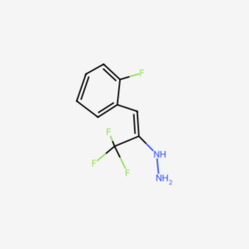 NN/C(=C/c1ccccc1F)C(F)(F)F